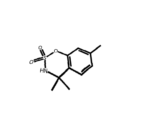 Cc1ccc2c(c1)OS(=O)(=O)NC2(C)C